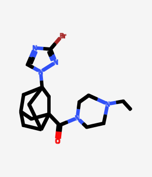 CCN1CCN(C(=O)C23CC4CC2CC(n2cnc(Br)n2)(C4)C3)CC1